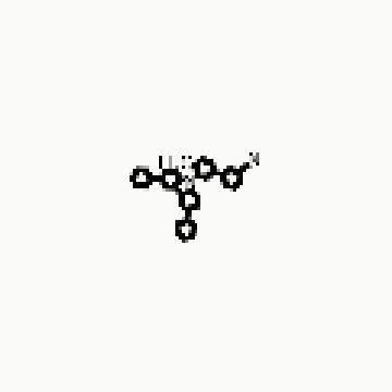 Cc1ccc(-c2cccc(C#N)c2)cc1-n1c2ccc(-c3ccccc3)cc2c2cc(-c3ccccc3)ccc21